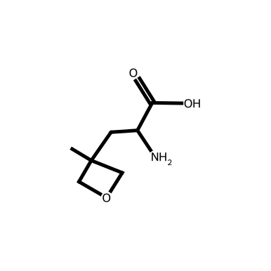 CC1(CC(N)C(=O)O)COC1